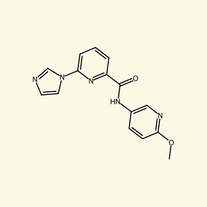 COc1ccc(NC(=O)c2cccc(-n3ccnc3)n2)cn1